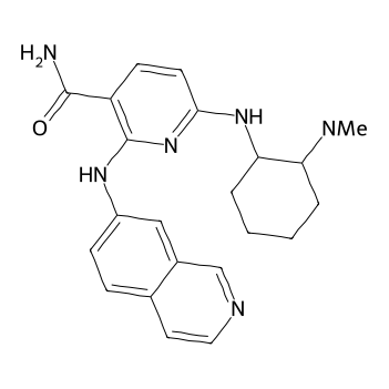 CNC1CCCCC1Nc1ccc(C(N)=O)c(Nc2ccc3ccncc3c2)n1